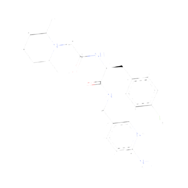 CC1CCCC(C)N1CC(=O)N[C@@H](Cc1ccc(F)cc1)C(=O)NCc1ccc(N)nc1